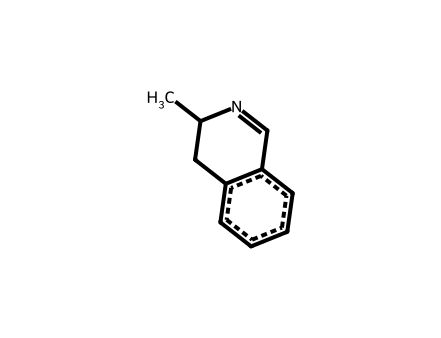 CC1Cc2ccccc2C=N1